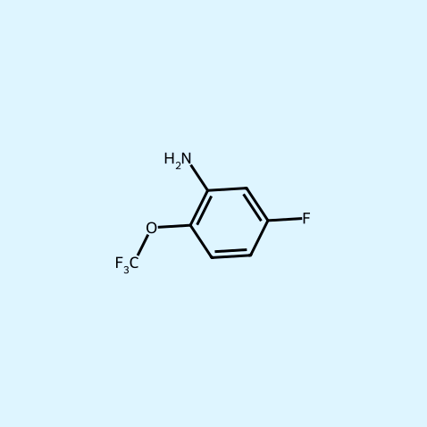 Nc1cc(F)ccc1OC(F)(F)F